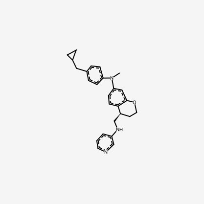 CN(c1ccc(CC2CC2)cc1)c1ccc2c(c1)OCC[C@H]2CNc1cccnc1